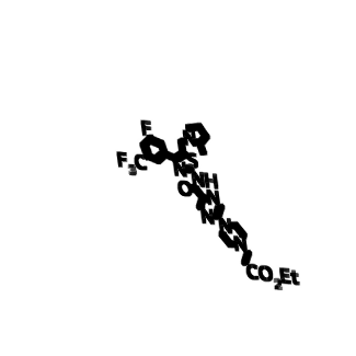 CCOC(=O)CCN1CCN(c2cnc(C(=O)Nc3nc(-c4cc(F)cc(C(F)(F)F)c4)c(CN4CCCC4C)s3)cn2)CC1